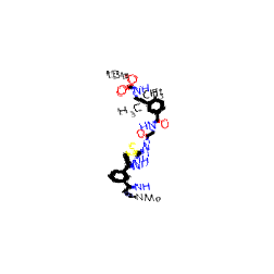 CCc1ccc(C(=O)NCC(=O)Nc2nc(-c3cccc(C(=N)/C=C\NC)c3)cs2)cc1C(C)(C)CNC(=O)OC(C)(C)C